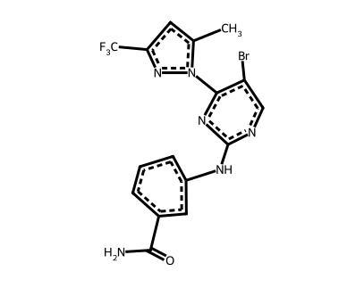 Cc1cc(C(F)(F)F)nn1-c1nc(Nc2cccc(C(N)=O)c2)ncc1Br